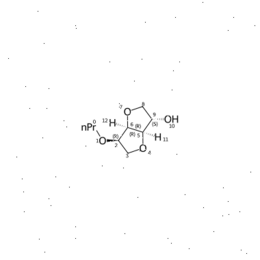 CCCO[C@@H]1CO[C@H]2[C@@H]1OC[C@@H]2O